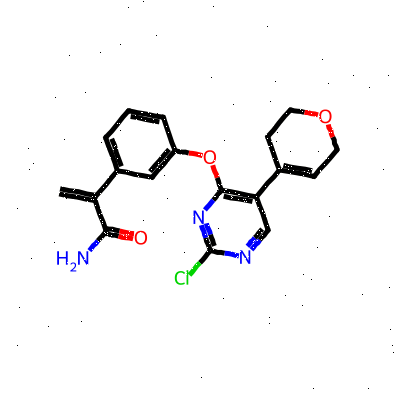 C=C(C(N)=O)c1cccc(Oc2nc(Cl)ncc2C2=CCOCC2)c1